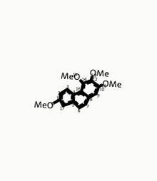 COc1ccc2c(ccc3cc(OC)c(OC)c(OC)c32)c1